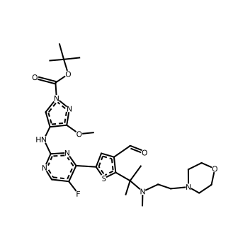 COc1nn(C(=O)OC(C)(C)C)cc1Nc1ncc(F)c(-c2cc(C=O)c(C(C)(C)N(C)CCN3CCOCC3)s2)n1